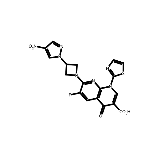 O=C(O)c1cn(-c2nccs2)c2nc(N3CC(n4cc([N+](=O)[O-])cn4)C3)c(F)cc2c1=O